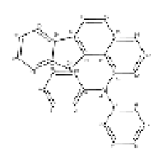 c1ccc(N(c2ccccc2)c2cccc3ccc4c5ccccc5sc4c23)cc1